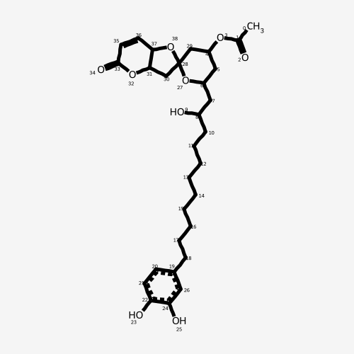 CC(=O)OC1CC(CC(O)CCCCCCCCCc2ccc(O)c(O)c2)OC2(C1)CC1OC(=O)C=CC1O2